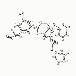 COc1ccc2c(O)nc(N3CCC(Cc4ccccc4)(OC(=O)NCc4ccccc4)CC3)nc2c1